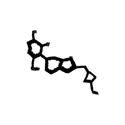 COc1ccc(Cl)c(Cl)c1-c1ccn2cc(CC3CC(O)C3)nc2c1